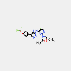 C[C@@H]1CN(c2ncc(F)c(Nc3cc(-c4ccc(OC(F)F)cc4)cnn3)n2)C[C@@H](C)O1